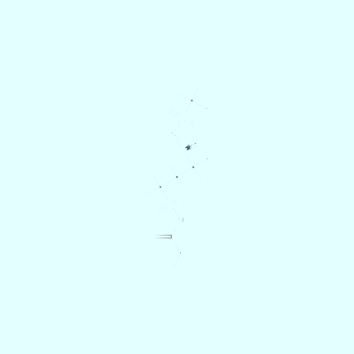 O=C(CF)NS(=O)(=O)C(F)(F)C(F)(F)C(F)(F)S(=O)(=O)NS(=O)(=O)C(F)(F)F